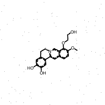 COc1ccc2cc3[n+](cc2c1OCCO)CCc1cc(O)c(O)cc1-3